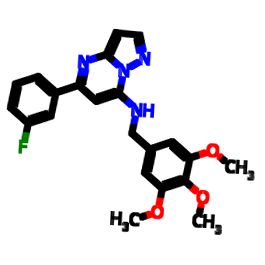 COc1cc(CNc2cc(-c3cccc(F)c3)nc3ccnn23)cc(OC)c1OC